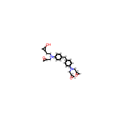 OC1CC1CCN(CC1CO1)c1ccc(Cc2ccc(N(CC3CO3)CC3CO3)cc2)cc1